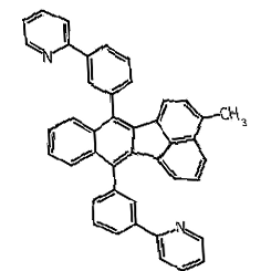 Cc1ccc2c3c(cccc13)-c1c-2c(-c2cccc(-c3ccccn3)c2)c2ccccc2c1-c1cccc(-c2ccccn2)c1